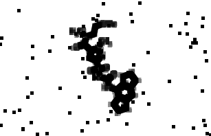 COCCN(C)C(=O)c1cc(S(=O)(=O)NC(=O)Nc2c3c(cc4c2CCC4)CCC3)nn1C